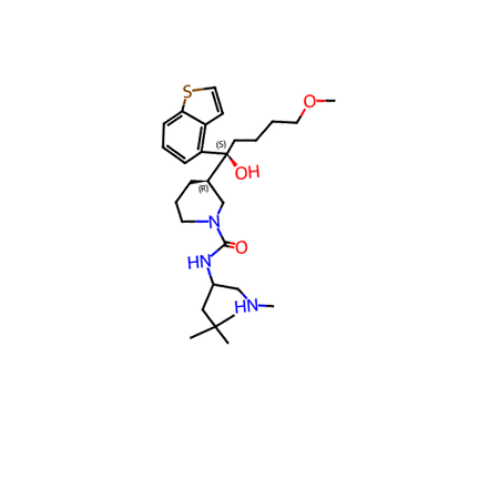 CNCC(CC(C)(C)C)NC(=O)N1CCC[C@@H]([C@@](O)(CCCCOC)c2cccc3sccc23)C1